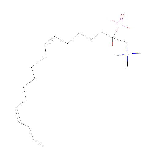 CCC/C=C\CCCCC/C=C\CCCCC(O)(C[N+](C)(C)C)P(=O)(O)O